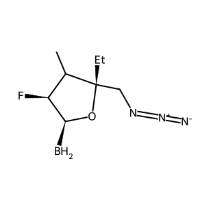 B[C@@H]1O[C@@](CC)(CN=[N+]=[N-])C(C)[C@@H]1F